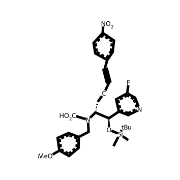 COc1ccc(CN(C(=O)O)[C@H](CCC#Cc2ccc([N+](=O)[O-])cc2)[C@H](O[Si](C)(C)C(C)(C)C)c2cncc(F)c2)cc1